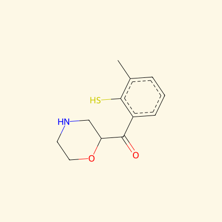 Cc1cccc(C(=O)C2CNCCO2)c1S